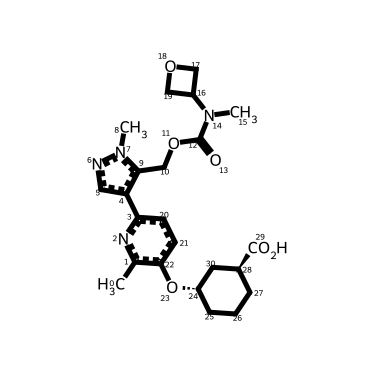 Cc1nc(-c2cnn(C)c2COC(=O)N(C)C2COC2)ccc1O[C@H]1CCC[C@H](C(=O)O)C1